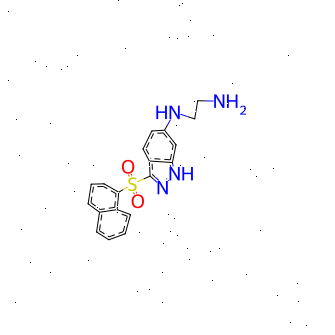 NCCNc1ccc2c(S(=O)(=O)c3cccc4ccccc34)n[nH]c2c1